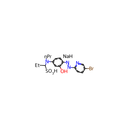 CCCN(c1ccc(/N=N/c2ccc(Br)cn2)c(O)c1)C(CC)S(=O)(=O)O.[NaH]